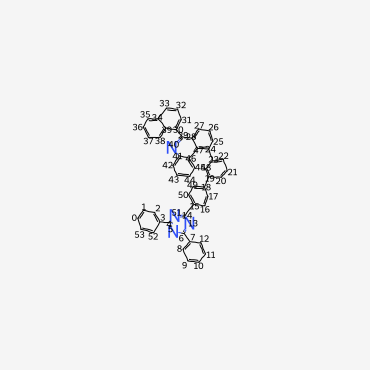 c1ccc(-c2nc(-c3ccccc3)nc(-c3ccc(-c4cccc(-c5cccc6c(-c7cccc8ccccc78)nc7ccccc7c56)c4)cc3)n2)cc1